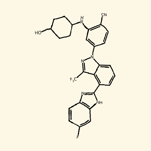 N#Cc1ccc(-n2nc(C(F)(F)F)c3c(-c4nc5ccc(F)cc5[nH]4)cccc32)cc1NC1CCC(O)CC1